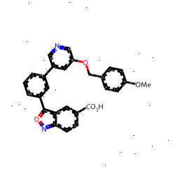 COc1ccc(COc2cncc(-c3cccc(-c4onc5ccc(C(=O)O)cc45)c3)c2)cc1